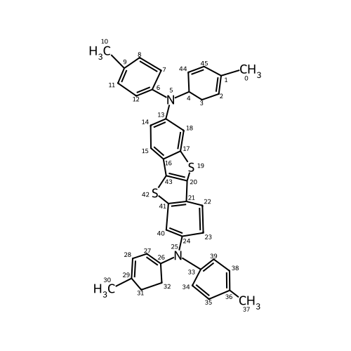 CC1=CCC(N(c2ccc(C)cc2)c2ccc3c(c2)sc2c4ccc(N(C5=CC=C(C)CC5)c5ccc(C)cc5)cc4sc32)C=C1